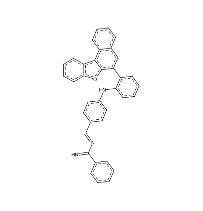 N=C(/N=C/c1ccc(Nc2ccccc2-c2cc3ccccc3c3c2oc2ccccc23)cc1)c1ccccc1